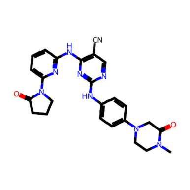 CN1CCN(c2ccc(Nc3ncc(C#N)c(Nc4cccc(N5CCCC5=O)n4)n3)cc2)CC1=O